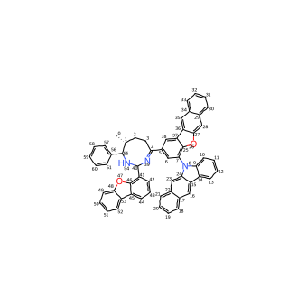 C[C@@H]1CC/C(c2cc(-n3c4ccccc4c4cc5ccccc5cc43)c3oc4cc5ccccc5cc4c3c2)=N\C(c2cccc3c2oc2ccccc23)NC1c1ccccc1